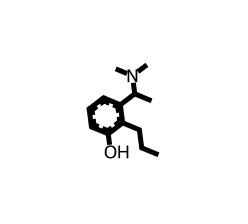 CCCc1c(O)cccc1C(C)N(C)C